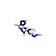 CCN(Cc1cc(=O)n2c(CN/C=C\C=N)c(C)sc2n1)c1ccc(F)cc1